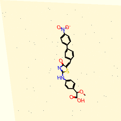 COC(C(=O)O)c1ccc(NC2=NC(=O)/C(=C\c3ccc(-c4ccc([N+](=O)[O-])cc4)cc3)S2)cc1